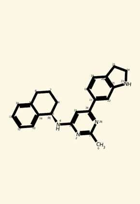 Cc1nc(N[C@@H]2CCCc3ccccc32)cc(-c2ccc3c(c2)NCC3)n1